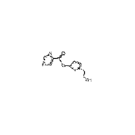 O=C(Oc1ccn(CCO)n1)c1cscn1